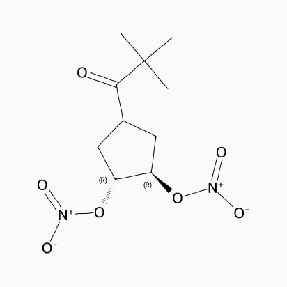 CC(C)(C)C(=O)C1C[C@@H](O[N+](=O)[O-])[C@H](O[N+](=O)[O-])C1